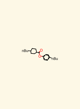 CCCCc1ccc(OC(=O)C2CCC(CCCC)CC2)cc1